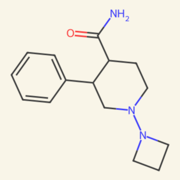 NC(=O)C1CCN(N2CCC2)CC1c1ccccc1